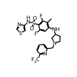 Cc1c(NC2CCN(Cc3cccc(C(F)(F)F)n3)C2)cc(F)c(S(=O)(=O)Nc2cscn2)c1F